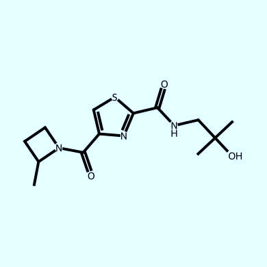 CC1CCN1C(=O)c1csc(C(=O)NCC(C)(C)O)n1